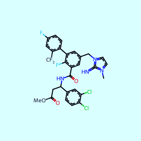 COC(=O)CC(NC(=O)c1cc(Cn2ccn(C)c2=N)cc(-c2ccc(F)cc2C(F)(F)F)c1F)c1ccc(Cl)c(Cl)c1